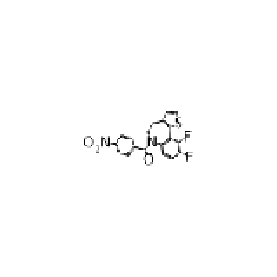 O=C(c1ccc([N+](=O)[O-])cc1)N1CCc2ccsc2-c2c1ccc(F)c2F